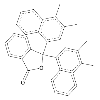 Cc1cc(C2(c3cc(C)c(C)c4ccccc34)OC(=O)c3ccccc32)c2ccccc2c1C